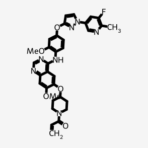 C=CC(=O)N1CCC(Oc2cc3c(Nc4ccc(Oc5ccn(-c6cnc(C)c(F)c6)n5)cc4OC)ncnc3cc2OC)CC1